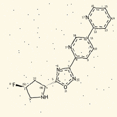 F[C@@H]1CN[C@@H](c2nc(-c3ccc(-c4ccccn4)cn3)no2)C1